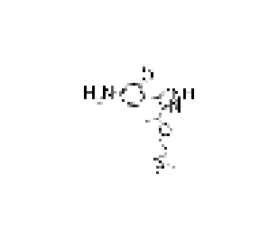 COc1cc(N)ccc1-c1c[nH]nc1C(C)OCC[Si](C)(C)C